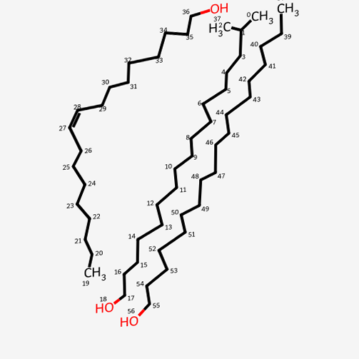 CC(C)CCCCCCCCCCCCCCCO.CCCCCCCC/C=C\CCCCCCCCO.CCCCCCCCCCCCCCCCCCO